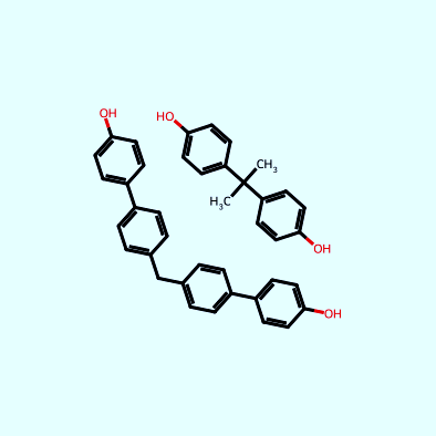 CC(C)(c1ccc(O)cc1)c1ccc(O)cc1.Oc1ccc(-c2ccc(Cc3ccc(-c4ccc(O)cc4)cc3)cc2)cc1